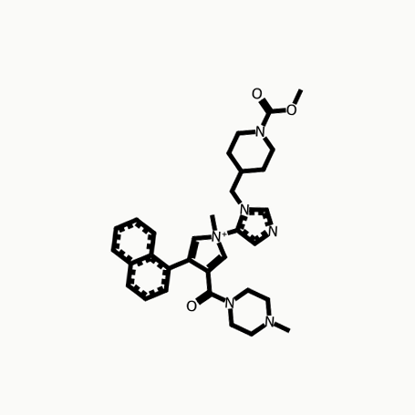 COC(=O)N1CCC(Cn2cncc2[N+]2(C)C=C(C(=O)N3CCN(C)CC3)C(c3cccc4ccccc34)=C2)CC1